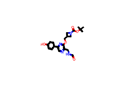 CC(C)(C)OC(=O)N1CC(COc2nc(-c3ccc(O)cc3)cnc2CNC=O)C1